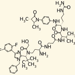 CC(C)C(NC(=O)CCNC(=O)[C@@H](N)CCN(C(=O)CO)[C@@H](c1nc(-c2cc(F)ccc2F)cn1Cc1ccccc1)C(C)(C)C)C(=O)N[C@@H](CCCNC(N)=O)C(=O)Nc1ccc(N2C(=O)[C@@H](C)C2C)cc1